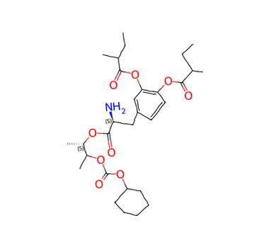 CCC(C)C(=O)Oc1ccc(C[C@H](N)C(=O)O[C@@H](C)C(C)OC(=O)OC2CCCCC2)cc1OC(=O)C(C)CC